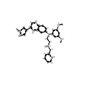 COc1cc(OC)cc(N(CCNCc2ccccn2)c2ccc3ncc(-c4cnn(C)c4)nc3c2)c1